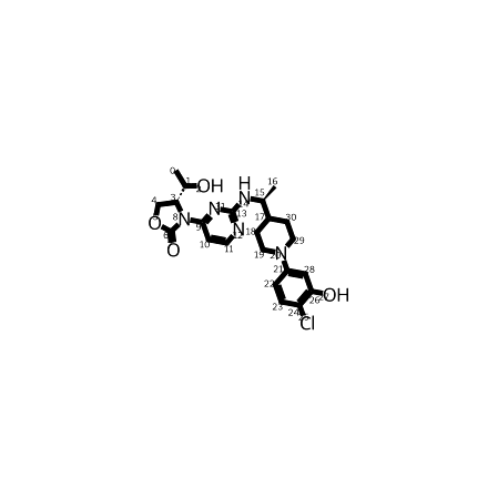 CC(O)[C@H]1COC(=O)N1c1ccnc(N[C@@H](C)C2CCN(c3ccc(Cl)c(O)c3)CC2)n1